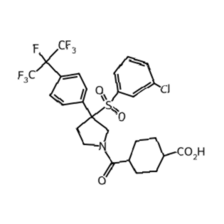 O=C(O)C1CCC(C(=O)N2CCC(c3ccc(C(F)(C(F)(F)F)C(F)(F)F)cc3)(S(=O)(=O)c3cccc(Cl)c3)C2)CC1